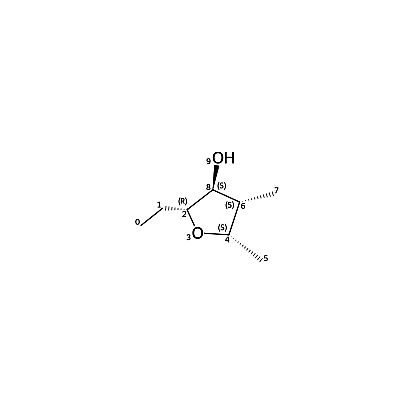 CC[C@H]1O[C@@H](C)[C@@H](C)[C@@H]1O